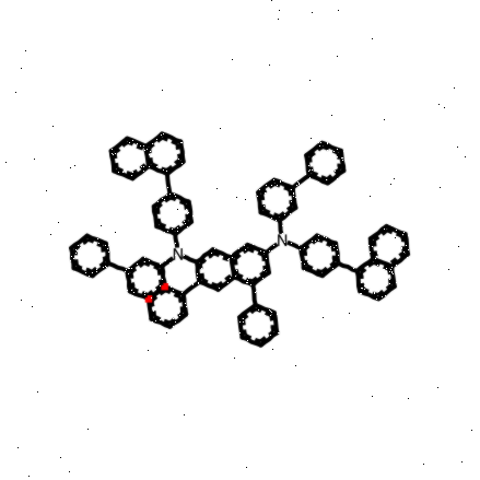 c1ccc(-c2cccc(N(c3ccc(-c4cccc5ccccc45)cc3)c3cc(-c4ccccc4)c4cc(-c5ccccc5)c(N(c5ccc(-c6cccc7ccccc67)cc5)c5cccc(-c6ccccc6)c5)cc4c3)c2)cc1